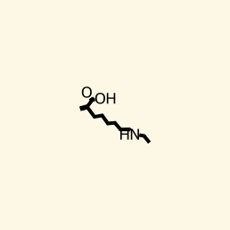 C=C(CCCCCCNCC)C(=O)O